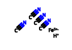 [C-]#N.[C-]#N.[C-]#N.[C-]#N.[Fe+3].[H+]